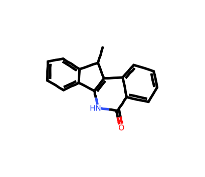 CC1c2ccccc2-c2[nH]c(=O)c3ccccc3c21